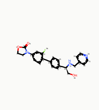 O=C1OCCN1c1ccc(-c2ccc([C@H](CO)NCc3ccncc3)cc2)c(F)c1